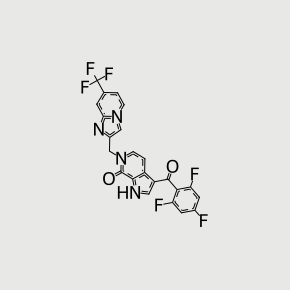 O=C(c1c(F)cc(F)cc1F)c1c[nH]c2c(=O)n(Cc3cn4ccc(C(F)(F)F)cc4n3)ccc12